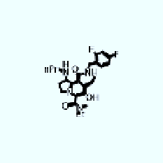 C/C=C1/C(O)=C(C(=O)N(C)CC)N2CCC(NCCC)C2=C1C(=O)NCc1ccc(F)cc1F